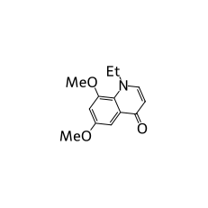 CCn1ccc(=O)c2cc(OC)cc(OC)c21